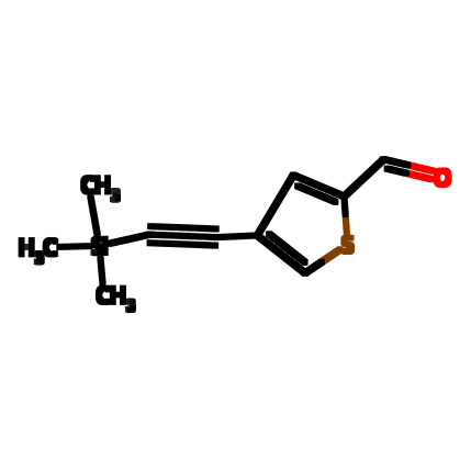 C[Si](C)(C)C#Cc1csc(C=O)c1